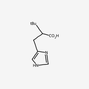 CC(C)(C)C(Cc1c[nH]cn1)C(=O)O